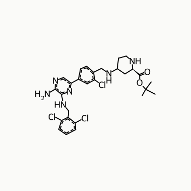 CC(C)(C)OC(=O)[C@H]1CC(NCc2ccc(-c3cnc(N)c(NCc4c(Cl)cccc4Cl)n3)cc2Cl)CCN1